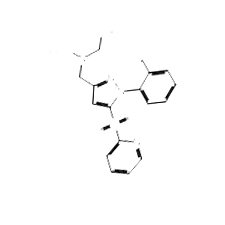 CC(C)(C)CN(Cc1cc(S(=O)(=O)c2ccccn2)n(-c2ccccc2Cl)n1)C(=O)O